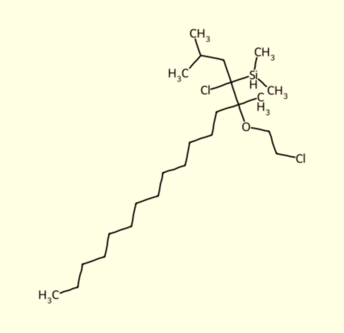 CCCCCCCCCCCCCC(C)(OCCCl)C(Cl)(CC(C)C)[SiH](C)C